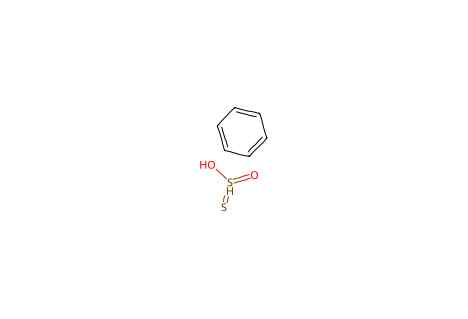 O=[SH](O)=S.c1ccccc1